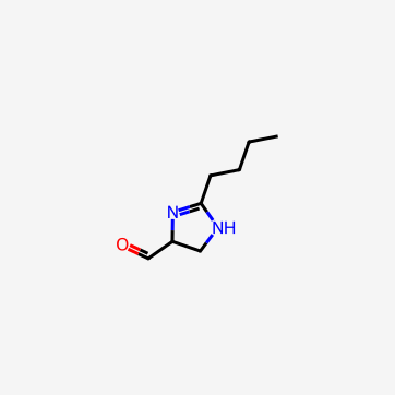 CCCCC1=NC(C=O)CN1